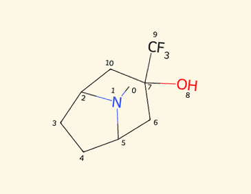 CN1C2CCC1CC(O)(C(F)(F)F)C2